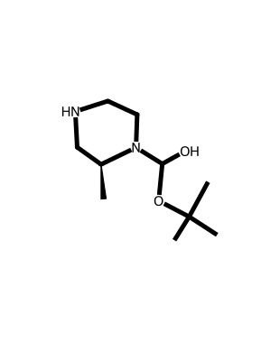 C[C@H]1CNCCN1C(O)OC(C)(C)C